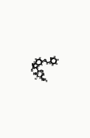 C[C@H](NC(=O)c1c2cc(OCc3ccccn3)ccc2nn1C)C(N)=O